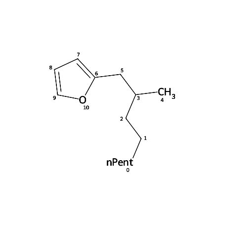 CCCCCCCC(C)Cc1ccco1